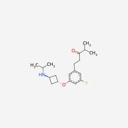 CC(C)N[C@H]1C[C@H](Oc2cc(F)cc(CCC(=O)C(C)C)c2)C1